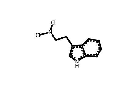 ClN(Cl)CCc1c[nH]c2ccccc12